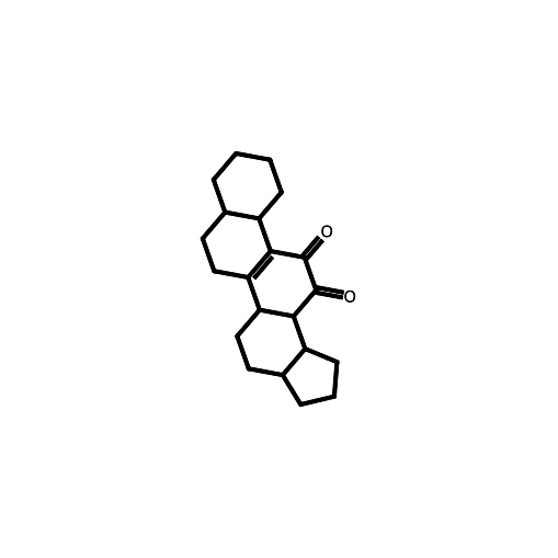 O=C1C(=O)C2C(CCC3CCCC32)C2=C1C1CCCCC1CC2